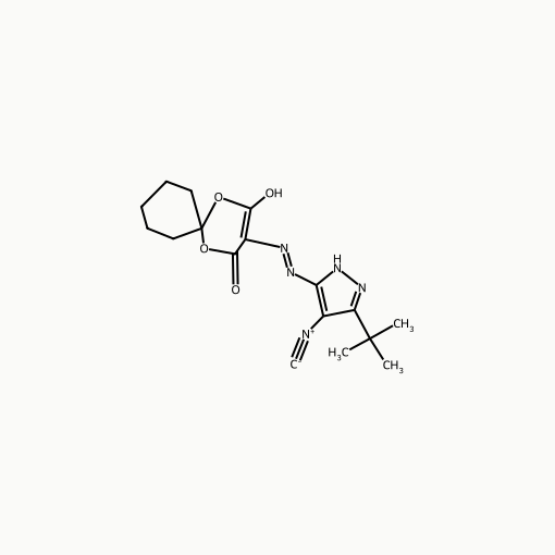 [C-]#[N+]c1c(C(C)(C)C)n[nH]c1/N=N/C1=C(O)OC2(CCCCC2)OC1=O